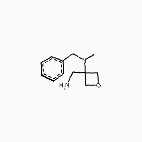 CN(Cc1ccccc1)C1(CN)COC1